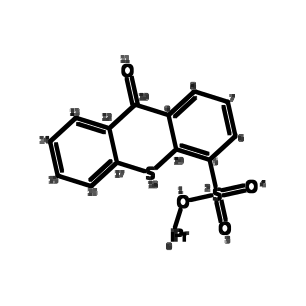 CC(C)OS(=O)(=O)c1cccc2c(=O)c3ccccc3sc12